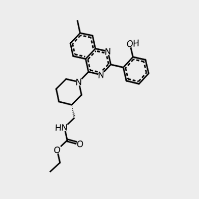 CCOC(=O)NC[C@@H]1CCCN(c2nc(-c3ccccc3O)nc3cc(C)ccc23)C1